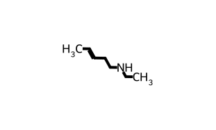 CC=CCCNCC